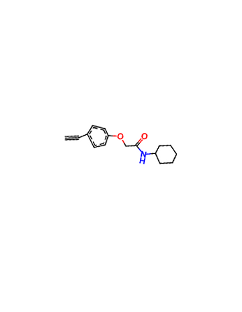 C#Cc1ccc(OCC(=O)NC2CCCCC2)cc1